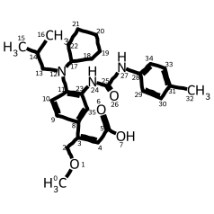 COC/C(=C/C(=O)O)c1ccc(N(CC(C)C)C2CCCCC2)c(NC(=O)Nc2ccc(C)cc2)c1